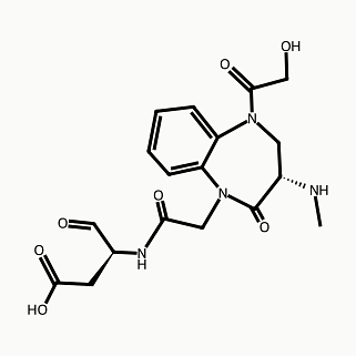 CN[C@H]1CN(C(=O)CO)c2ccccc2N(CC(=O)N[C@H](C=O)CC(=O)O)C1=O